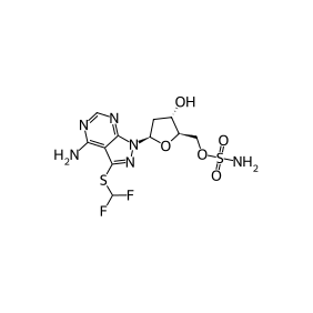 Nc1ncnc2c1c(SC(F)F)nn2[C@H]1C[C@H](O)[C@@H](COS(N)(=O)=O)O1